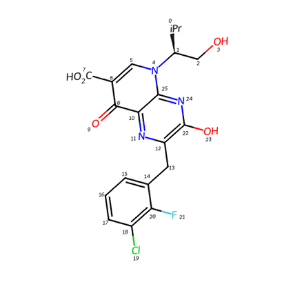 CC(C)[C@@H](CO)n1cc(C(=O)O)c(=O)c2nc(Cc3cccc(Cl)c3F)c(O)nc21